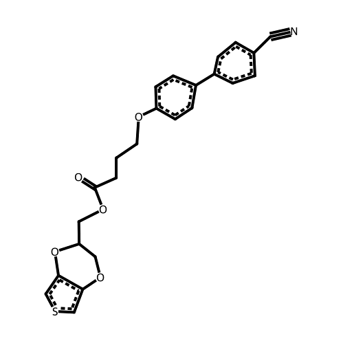 N#Cc1ccc(-c2ccc(OCCCC(=O)OCC3COc4cscc4O3)cc2)cc1